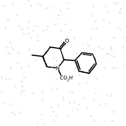 CC1CC(=O)C(c2ccccc2)N(C(=O)O)C1